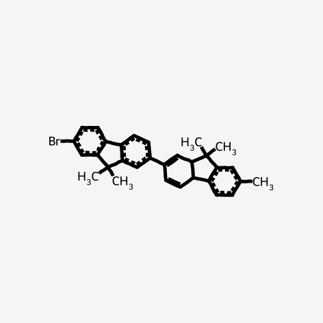 Cc1ccc2c(c1)C(C)(C)C1C=C(c3ccc4c(c3)C(C)(C)c3cc(Br)ccc3-4)C=CC21